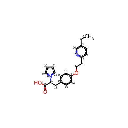 CCc1ccc(CCOc2ccc(C[C@@H](C(=O)O)n3cccc3)cc2)nc1